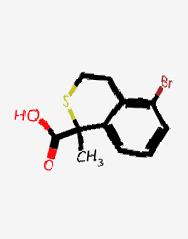 CC1(C(=O)O)SCCc2c(Br)cccc21